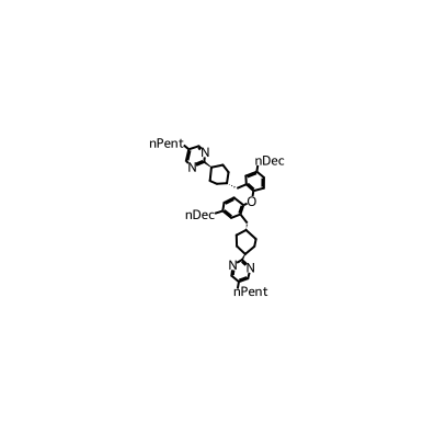 CCCCCCCCCCc1ccc(Oc2ccc(CCCCCCCCCC)cc2C[C@H]2CC[C@H](c3ncc(CCCCC)cn3)CC2)c(C[C@H]2CC[C@H](c3ncc(CCCCC)cn3)CC2)c1